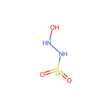 O=[SH](=O)NNO